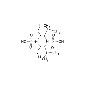 CC(C)CN(CC(C)C)S(=O)(=O)O.O=S(=O)(O)N(CCCl)CCCl